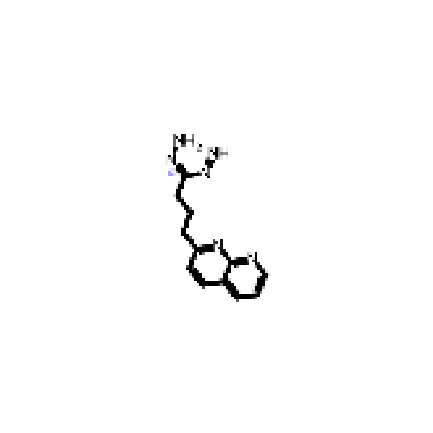 N=N/C(CCCc1ccc2cccnc2n1)=N\N